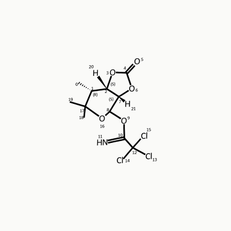 C[C@@H]1[C@@H]2OC(=O)O[C@@H]2C(OC(=N)C(Cl)(Cl)Cl)OC1(C)C